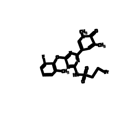 Cc1cccc(F)c1Oc1nc(NS(=O)(=O)CCC(C)C)nc(-c2cc(C)c(=O)n(C)c2)n1